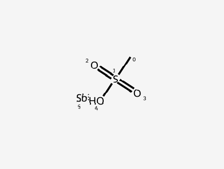 CS(=O)(=O)O.[Sb]